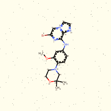 COc1cc(Nc2nc(Br)cn3ccnc23)ccc1N1CCOC(C)(C)C1